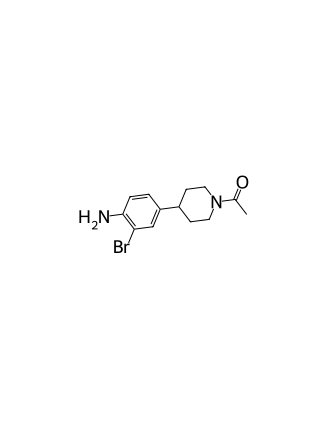 CC(=O)N1CCC(c2ccc(N)c(Br)c2)CC1